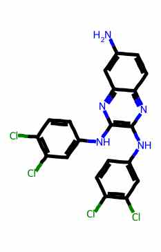 Nc1ccc2nc(Nc3ccc(Cl)c(Cl)c3)c(Nc3ccc(Cl)c(Cl)c3)nc2c1